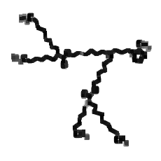 CCCCCCCCC(CCCCCC)C(=O)OCCCCCCN(CCCCCCOC(=O)[C@@H](CCCCCC)CCCCCCCC)CCCn1ccnc1C